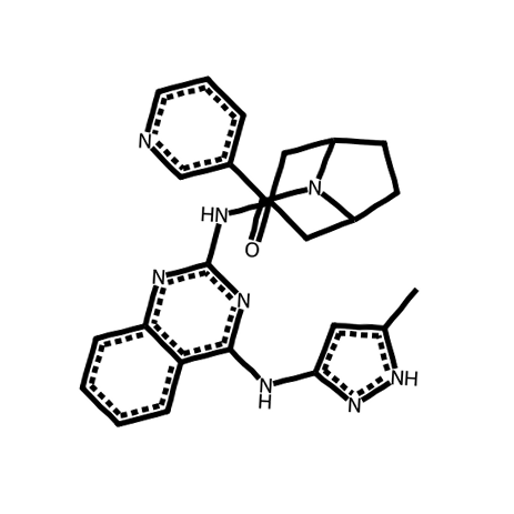 Cc1cc(Nc2nc(NC3CC4CCC(C3)N4C(=O)c3cccnc3)nc3ccccc23)n[nH]1